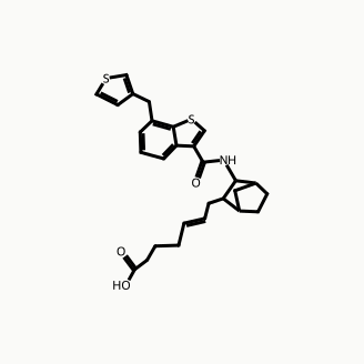 O=C(O)CCCC=CCC1C2CCC(C2)C1NC(=O)c1csc2c(Cc3ccsc3)cccc12